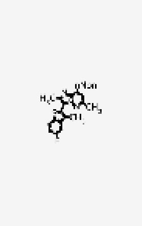 CCCCCCCCCc1cc(C)nn2c(-c3sc4ccc(F)cc4c3C)c(C)nc12